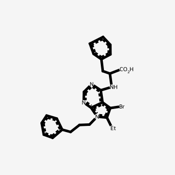 CCc1c(Br)c2c(NC(Cc3ccccc3)C(=O)O)ncnc2n1CCCc1ccccc1